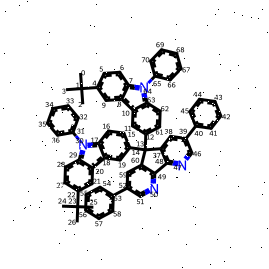 CC(C)(C)c1ccc2c(c1)c1cc(C3(c4ccc5c(c4)c4cc(C(C)(C)C)ccc4n5-c4ccccc4)c4cc(-c5ccccc5)cnc4-c4ncc(-c5ccccc5)cc43)ccc1n2-c1ccccc1